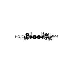 COC(=O)NC(C(=O)N1CCC[C@H]1c1ncc(-c2ccc(-c3ccc(-c4cnc(C5=C(C(=O)N(CC(=O)O)C(C)C)CCC5)[nH]4)cc3)cc2)[nH]1)C(C)C